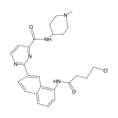 CN1CCC(NC(=O)c2ccnc(-c3ccc4cccc(NC(=O)CCCCl)c4c3)n2)CC1